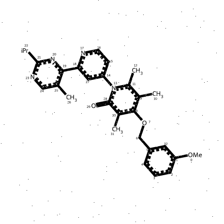 COc1cccc(COc2c(C)c(C)n(-c3ccnc(-c4nc(C(C)C)ncc4C)c3)c(=O)c2C)c1